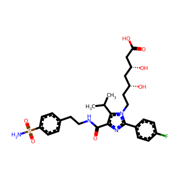 CC(C)c1c(C(=O)NCCc2ccc(S(N)(=O)=O)cc2)nc(-c2ccc(F)cc2)n1CC[C@@H](O)C[C@@H](O)CC(=O)O